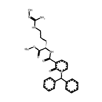 CC(C)(C)OC(=O)[C@H](CCCN/C(N)=N/O)NC(=O)c1cccn(C(c2ccccc2)c2ccccc2)c1=O